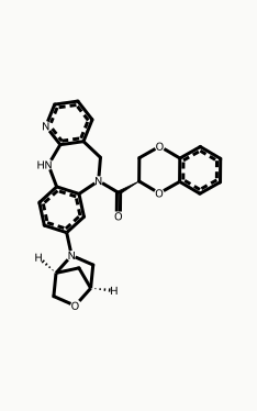 O=C([C@H]1COc2ccccc2O1)N1Cc2cccnc2Nc2ccc(N3C[C@@H]4C[C@H]3CO4)cc21